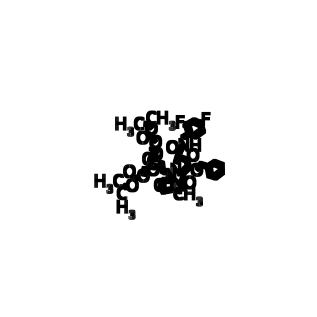 CC(C)OC(=O)OCOP(=O)(CCN1n2cc(C(=O)NCc3ccc(F)cc3F)c(=O)c(OCc3ccccc3)c2C(=O)N(C)[C@@]12CCOC2)OCOC(=O)OC(C)C